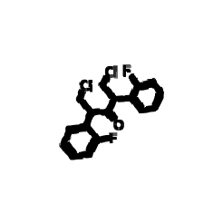 O=C(C(CCl)c1ccccc1F)C(CCl)c1ccccc1F